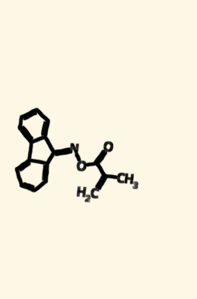 C=C(C)C(=O)ON=C1c2ccccc2-c2ccccc21